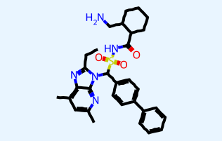 CCc1nc2c(C)cc(C)nc2n1C(c1ccc(-c2ccccc2)cc1)S(=O)(=O)NC(=O)C1CCCCC1CN